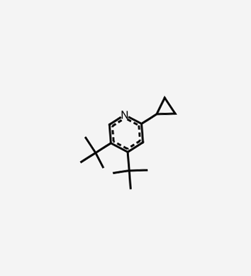 CC(C)(C)c1cnc(C2CC2)cc1C(C)(C)C